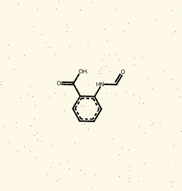 O=[C]Nc1ccccc1C(=O)O